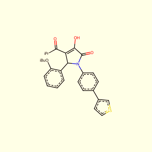 CC(C)COc1ccccc1C1C(C(=O)C(C)C)=C(O)C(=O)N1c1ccc(-c2ccsc2)cc1